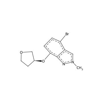 Cn1cc2c(Br)ccc(O[C@H]3CCOC3)c2n1